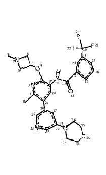 Cc1nc(OC2CN(C)C2)c(NC(=O)c2cccc(C(F)(F)F)c2)cc1-c1cncc(N2CCOCC2)c1